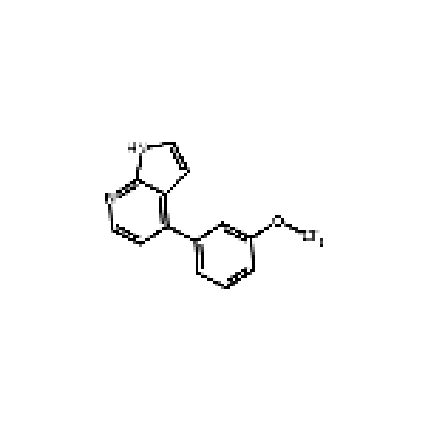 FC(F)(F)Oc1cccc(-c2ccnc3[nH]ccc23)c1